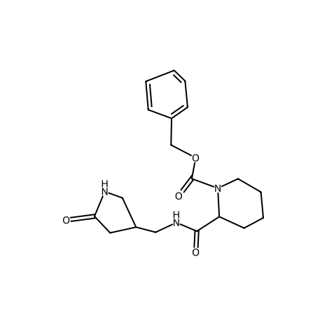 O=C1CC(CNC(=O)C2CCCCN2C(=O)OCc2ccccc2)CN1